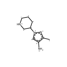 Cc1nn(C2CCCNC2)cc1N